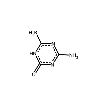 Bc1nc(N)nc(=O)[nH]1